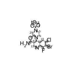 CC(C)(C)OC(=O)N1CCN(c2c(C(N)=O)cnc3c(F)c(Br)c(Cl)cc23)CC1